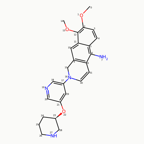 COc1ccc2c(N)c3c(cc2c1OC)CN(c1cncc(O[C@@H]2CCCNC2)c1)C=C3